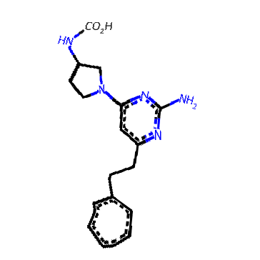 Nc1nc(CCc2ccccc2)cc(N2CCC(NC(=O)O)C2)n1